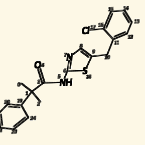 CC(C)(C(=O)Nc1ncc(Cc2ccccc2Cl)s1)c1ccccc1